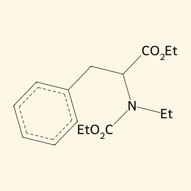 CCOC(=O)C(Cc1ccccc1)N(CC)C(=O)OCC